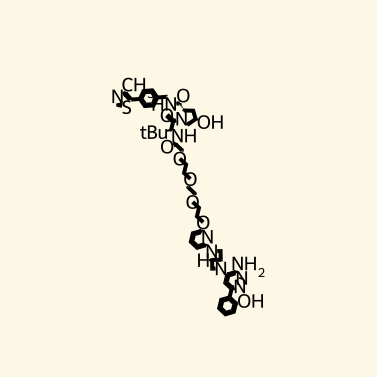 Cc1ncsc1-c1ccc(CNC(=O)[C@@H]2C[C@@H](O)CN2C(=O)[C@@H](NC(=O)COCCOCCOCCOc2cccc(N3CC4[C@@H]3CN4c3cc(-c4ccccc4O)nnc3N)n2)C(C)(C)C)cc1